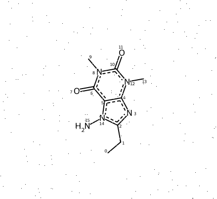 CCc1nc2c(c(=O)n(C)c(=O)n2C)n1N